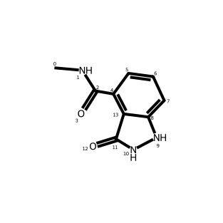 CNC(=O)c1cccc2[nH][nH]c(=O)c12